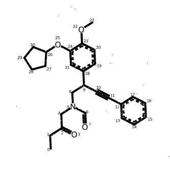 CCC(=O)CN(C=O)CC(C#Cc1ccccc1)c1ccc(OC)c(OC2CCCC2)c1